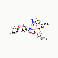 CS[C@@H]1C[C@@H](C(=O)N[C@H](C)c2cc(C(=N)N)cs2)N(C(=O)CNC(=O)c2ccc(Oc3ccc(F)cc3)cc2)C1